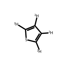 [2H]c1sc([2H])c([2H])c1[2H]